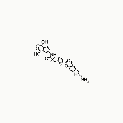 CC(C)(Cc1ccc(C(=O)Oc2ccc(CNCN)cc2F)s1)C(=O)Nc1ccc(C(=O)O)c(C(=O)O)c1